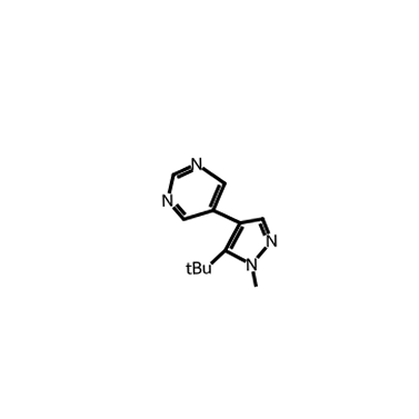 Cn1ncc(-c2cncnc2)c1C(C)(C)C